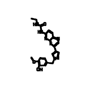 CCNC(=O)Nc1ccc2ncc(-c3cnn(Cc4ccc(OC)c(O)c4)c3)nc2n1